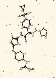 COC(=O)NC1CCN(Cc2cnc(NC(=O)/C(=N/O[C@@H]3CCOC3)c3ccc(S(=O)(=O)C4CC4)cc3)s2)CC1